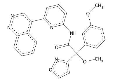 COc1cccc(C(OC)(C(=O)Nc2cccc(-c3cnnc4ccccc34)n2)c2ccon2)c1